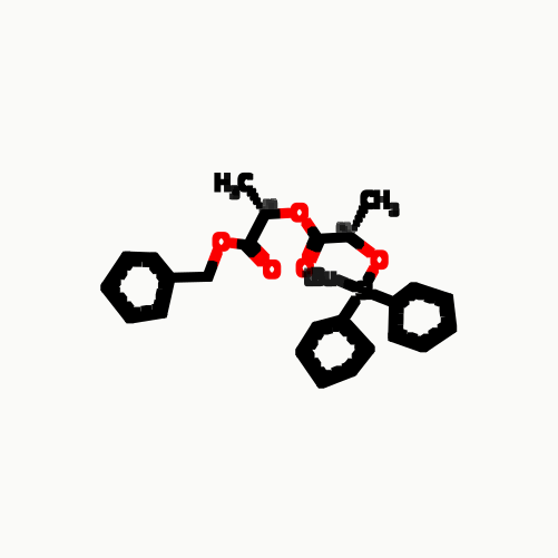 C[C@H](OC(=O)[C@H](C)O[Si](c1ccccc1)(c1ccccc1)C(C)(C)C)C(=O)OCc1ccccc1